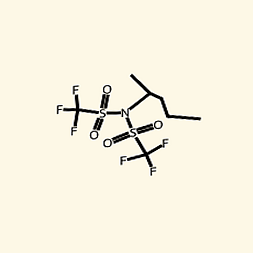 CCCC(C)N(S(=O)(=O)C(F)(F)F)S(=O)(=O)C(F)(F)F